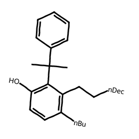 CCCCCCCCCCCCc1c(CCCC)ccc(O)c1C(C)(C)c1ccccc1